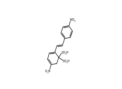 O=[N+]([O-])C1=CC=C(C=Cc2ccc([N+](=O)[O-])cc2)C(S(=O)(=O)O)(S(=O)(=O)O)C1